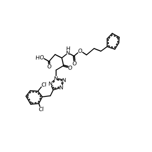 O=C(O)CC(NC(=O)OCCCc1ccccc1)C(=O)Cn1nnc(Cc2c(Cl)cccc2Cl)n1